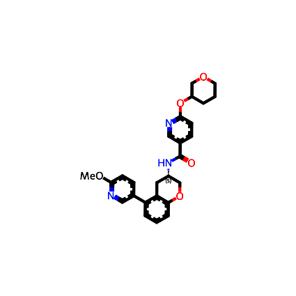 COc1ccc(-c2cccc3c2C[C@H](NC(=O)c2ccc(OC4CCCOC4)nc2)CO3)cn1